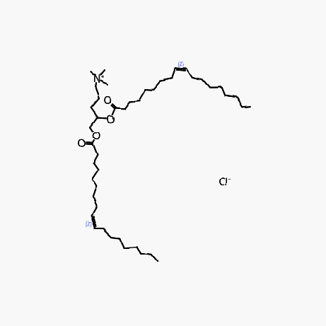 CCCCCCCC/C=C\CCCCCCCC(=O)OCC(CCC[N+](C)(C)C)OC(=O)CCCCCCC/C=C\CCCCCCCC.[Cl-]